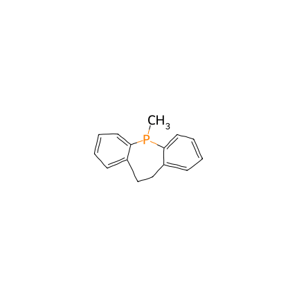 CP1c2ccccc2CCc2ccccc21